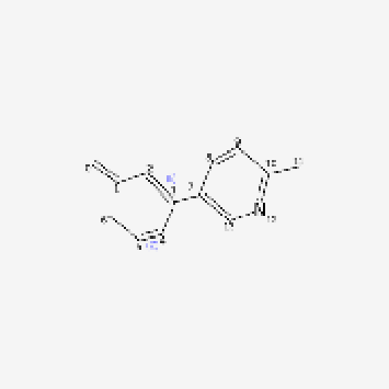 C=C/C=C(\C=C/C)c1ccc(C)nc1